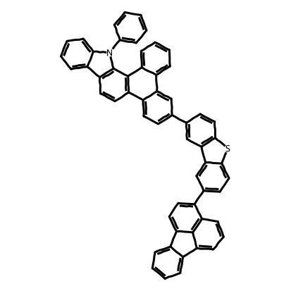 c1ccc(-n2c3ccccc3c3ccc4c5ccc(-c6ccc7sc8ccc(-c9ccc%10c%11c(cccc9%11)-c9ccccc9-%10)cc8c7c6)cc5c5ccccc5c4c32)cc1